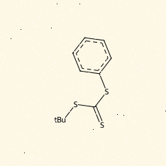 CC(C)(C)SC(=S)Sc1ccccc1